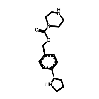 O=C(OCc1ccc([C@H]2CCCN2)cc1)N1CCNCC1